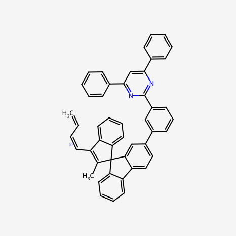 C=C/C=C\C1=C(C)C2(c3ccccc31)c1ccccc1-c1ccc(-c3cccc(-c4nc(-c5ccccc5)cc(-c5ccccc5)n4)c3)cc12